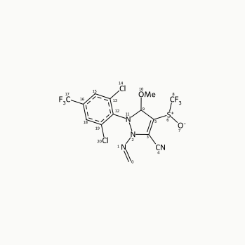 C=NN1C(C#N)=C([S+]([O-])C(F)(F)F)C(OC)N1c1c(Cl)cc(C(F)(F)F)cc1Cl